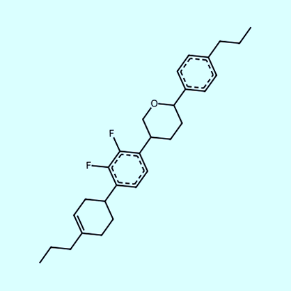 CCCC1=CCC(c2ccc(C3CCC(c4ccc(CCC)cc4)OC3)c(F)c2F)CC1